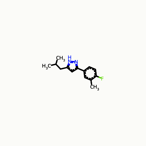 Cc1cc(-c2cc(CC(C)C)[nH]n2)ccc1F